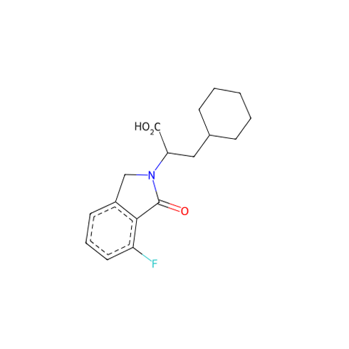 O=C(O)C(CC1CCCCC1)N1Cc2cccc(F)c2C1=O